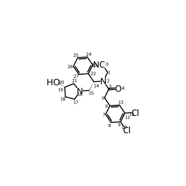 N#CCN(C(=O)Cc1ccc(Cl)c(Cl)c1)[C@H](CN1CC[C@H](O)C1)c1ccccc1